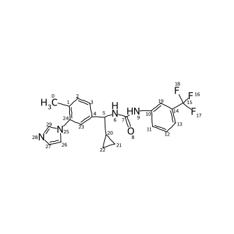 Cc1ccc(C(NC(=O)Nc2cccc(C(F)(F)F)c2)C2CC2)cc1-n1ccnc1